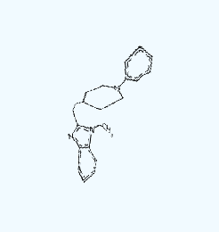 Cn1c(CC2CCN(c3ccccc3)CC2)nc2ccccc21